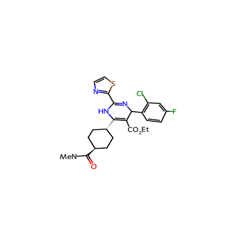 CCOC(=O)C1=C([C@H]2CC[C@H](C(=O)NC)CC2)NC(c2nccs2)=NC1c1ccc(F)cc1Cl